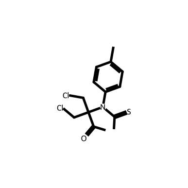 CC(=O)C(CCl)(CCl)N(C(C)=S)c1ccc(C)cc1